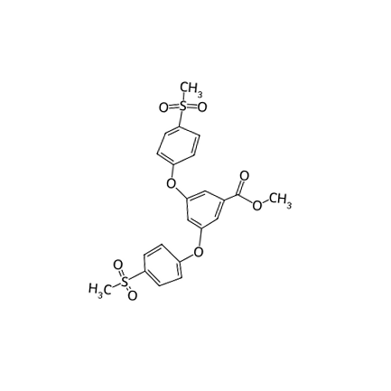 COC(=O)c1cc(Oc2ccc(S(C)(=O)=O)cc2)cc(Oc2ccc(S(C)(=O)=O)cc2)c1